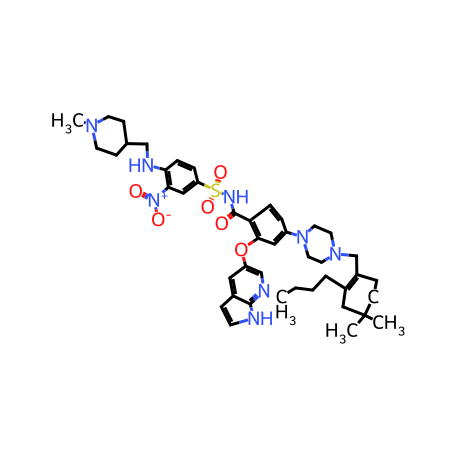 CCCCC1=C(CN2CCN(c3ccc(C(=O)NS(=O)(=O)c4ccc(NCC5CCN(C)CC5)c([N+](=O)[O-])c4)c(Oc4cnc5[nH]ccc5c4)c3)CC2)CCC(C)(C)C1